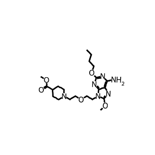 CCCCOc1nc(N)c2nc(OC)n(CCOCCN3CCC(C(=O)OC)CC3)c2n1